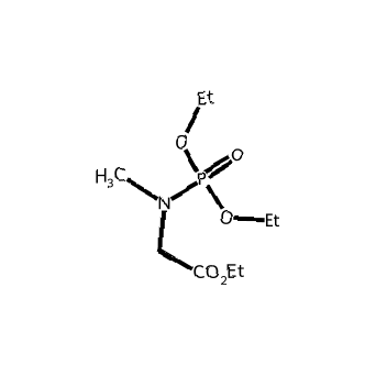 CCOC(=O)CN(C)P(=O)(OCC)OCC